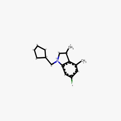 Cc1cc(F)cc2c1C(C)CN2CC1CCCC1